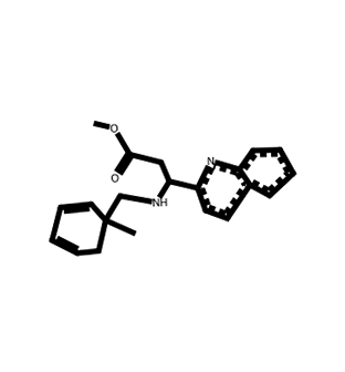 COC(=O)CC(NCC1(C)C=CC=CC1)c1ccc2ccccc2n1